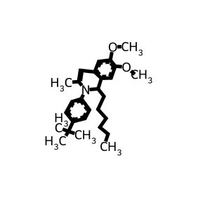 CCCCCCC1c2cc(OC)c(OC)cc2C=C(C)N1c1ccc(C(C)(C)C)cc1